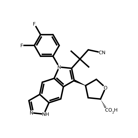 CC(C)(CC#N)c1c([C@H]2CO[C@H](C(=O)O)C2)c2cc3[nH]ncc3cc2n1-c1ccc(F)c(F)c1